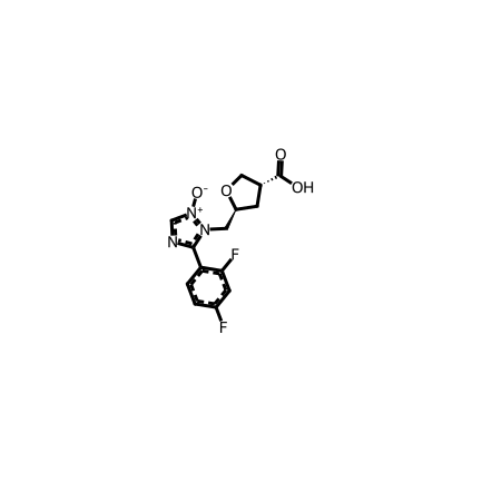 O=C(O)[C@H]1CO[C@H](Cn2c(-c3ccc(F)cc3F)nc[n+]2[O-])C1